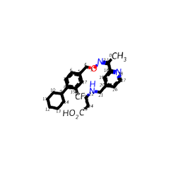 CC(=NOCc1ccc(C2CCCCC2)c(C(F)(F)F)c1)c1cc(CNCCC(=O)O)ccn1